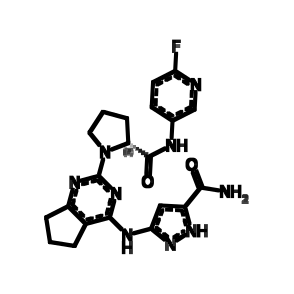 NC(=O)c1cc(Nc2nc(N3CCC[C@@H]3C(=O)Nc3ccc(F)nc3)nc3c2CCC3)n[nH]1